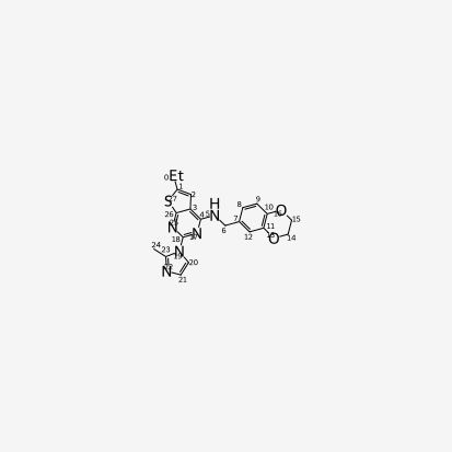 CCc1cc2c(NCc3ccc4c(c3)OCCO4)nc(-n3ccnc3C)nc2s1